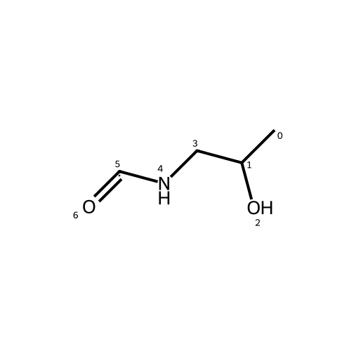 CC(O)CN[C]=O